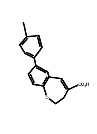 Cc1ccc(-c2ccc3c(c2)C=C(C(=O)O)CCO3)cc1